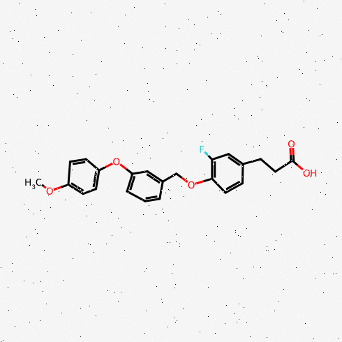 COc1ccc(Oc2cccc(COc3ccc(CCC(=O)O)cc3F)c2)cc1